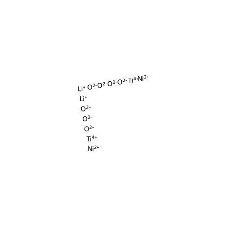 [Li+].[Li+].[Ni+2].[Ni+2].[O-2].[O-2].[O-2].[O-2].[O-2].[O-2].[O-2].[Ti+4].[Ti+4]